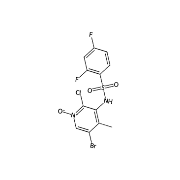 Cc1c(Br)c[n+]([O-])c(Cl)c1NS(=O)(=O)c1ccc(F)cc1F